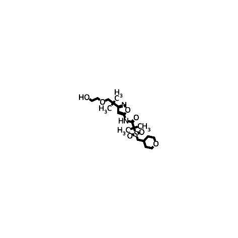 CC(C)(COCCO)c1cc(NC(=O)C(C)(C)S(=O)(=O)CC2CCOCC2)on1